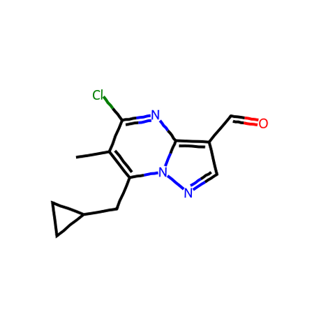 Cc1c(Cl)nc2c(C=O)cnn2c1CC1CC1